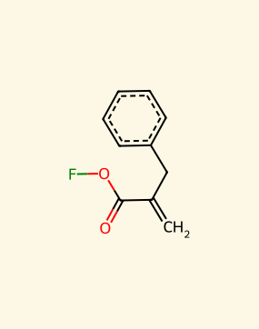 C=C(Cc1ccccc1)C(=O)OF